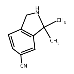 CC1(C)NCc2ccc(C#N)cc21